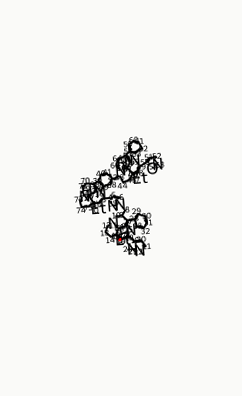 CC[C@@]12C=C(c3ccn(CC4CN5CCC[C@@]6(CC)C=C(c7ccnn7C)n7c(c4c4ccccc47)[C@@H]56)n3)n3c4c(c5ccc(C6CC[C@@]7(CC)C=C(c8ccno8)n8c9c(c%10ccccc%108)CCN6[C@H]97)cc53)CCN(CCC1)[C@H]42